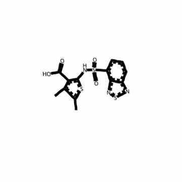 Cc1sc(NS(=O)(=O)c2cccc3nsnc23)c(C(=O)O)c1C